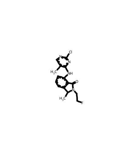 Cc1cnc(Cl)nc1Nc1cccc2c1C(=O)N(CCF)C2C